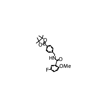 COc1ccc(F)cc1C(=O)NCc1ccc(B2OC(C)(C)C(C)(C)O2)cc1